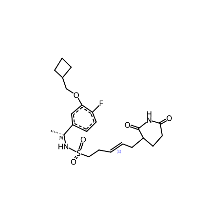 C[C@@H](NS(=O)(=O)CC/C=C/CC1CCC(=O)NC1=O)c1ccc(F)c(OCC2CCC2)c1